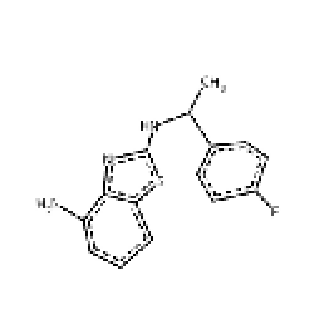 CC(Nc1nc2c(N)cccc2s1)c1ccc(F)cc1